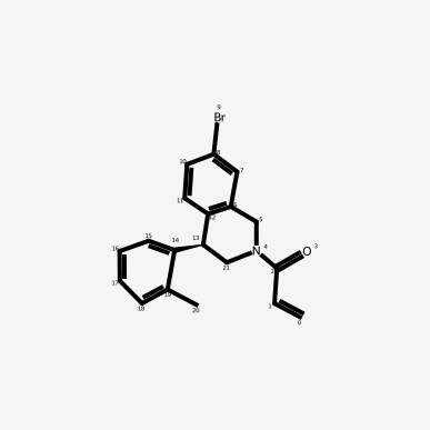 C=CC(=O)N1Cc2cc(Br)ccc2[C@H](c2ccccc2C)C1